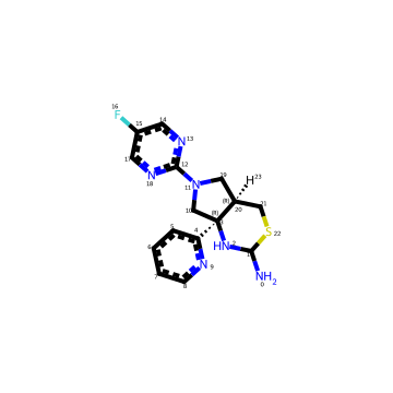 NC1N[C@@]2(c3ccccn3)CN(c3ncc(F)cn3)C[C@H]2CS1